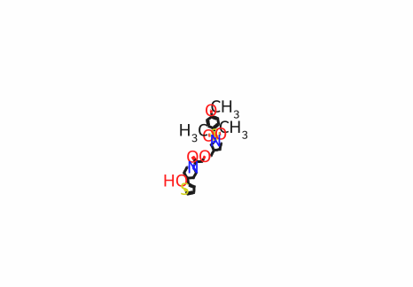 COc1cc(C)c(S(=O)(=O)N2CCC(COCC(=O)N3CCC(O)(c4cccs4)CC3)C2)c(C)c1